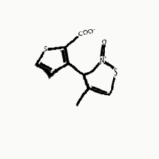 CC1=CS[N+](=O)C1c1ccsc1C(=O)[O-]